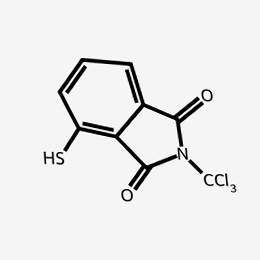 O=C1c2cccc(S)c2C(=O)N1C(Cl)(Cl)Cl